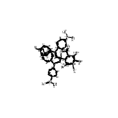 CCN(CC)c1ccc(C(=CC2(C=C(c3ccc(C)cc3)c3ccc(N(CC)CC)cc3)OC(=O)c3c(Br)c(Br)c(Br)c(Br)c32)c2ccc(C)cc2)cc1